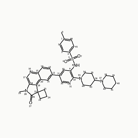 Cc1ccc(S(=O)(=O)Nc2cc(-c3ccc4ncc5c(c4c3)C3(CCC3)C(=O)N5C)cnc2N2CCC(N3CCCCC3)CC2)cc1